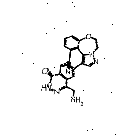 N#Cc1cccc2c1-c1c(-c3ccc4c(=O)[nH]nc(CN)c4c3)cnn1CCO2